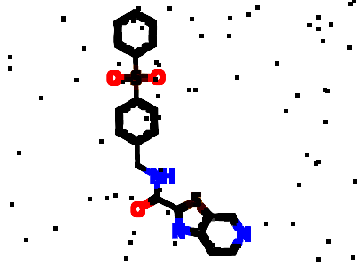 O=C(NCc1ccc(S(=O)(=O)c2ccccc2)cc1)c1nc2ccncc2s1